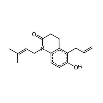 C=CCc1c(O)ccc2c1CCC(=O)N2CC=C(C)C